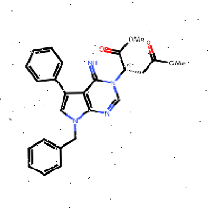 COC(=O)C[C@@H](C(=O)OC)n1cnc2c(c(-c3ccccc3)cn2Cc2ccccc2)c1=N